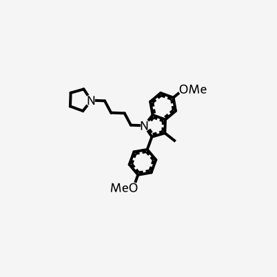 COc1ccc(-c2c(C)c3cc(OC)ccc3n2CCCCN2CCCC2)cc1